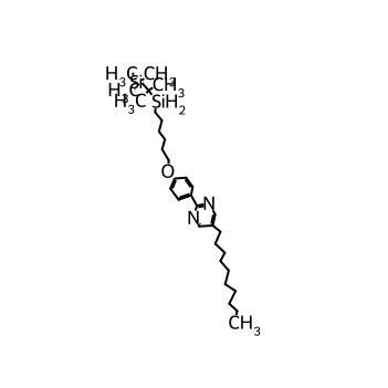 CCCCCCCCCCc1cnc(-c2ccc(OCCCCCC[SiH2]C(C)(C)[Si](C)(C)C)cc2)nc1